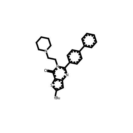 CC(C)(C)c1cc2nc(-c3ccc(-c4ccccc4)cc3)n(CCN3CCCCC3)c(=O)c2s1